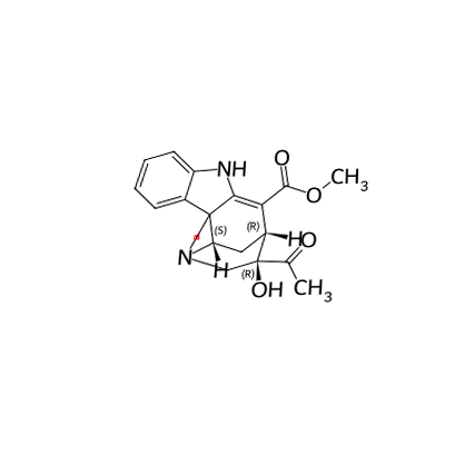 COC(=O)C1=C2Nc3ccccc3C23CCN2C[C@@](O)(C(C)=O)[C@@H]1C[C@H]23